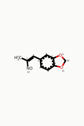 C/C(=C/c1ccc2c(c1)OCO2)N=O